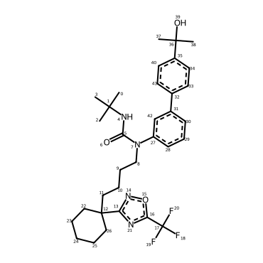 CC(C)(C)NC(=O)N(CCCCC1(c2noc(C(F)(F)F)n2)CCCCC1)c1cccc(-c2ccc(C(C)(C)O)cc2)c1